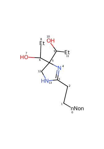 CCCCCCCCCCCC1=NC(C(O)CC)(C(O)CC)CN1